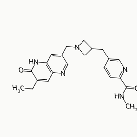 CCc1cc2ncc(CN3CC(Cc4ccc(C(=O)NC)nc4)C3)cc2[nH]c1=O